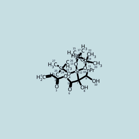 C=CC(=O)OC(=O)C(O)(C(O)CCC)[Si](O[Si](C)(C)C)(O[Si](C)(C)C)O[Si](C)(C)C